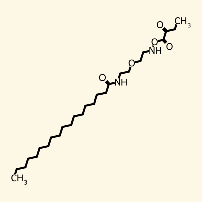 CCCCCCCCCCCCCCCCCC(=O)NCCOCCNOC(=O)C(=O)CC